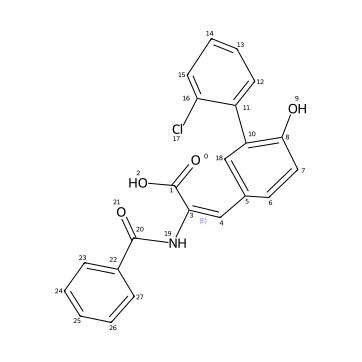 O=C(O)/C(=C\c1ccc(O)c(-c2ccccc2Cl)c1)NC(=O)c1ccccc1